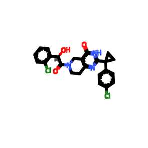 O=C([C@H](O)c1ccccc1Cl)N1CCc2nc(C3(c4ccc(Cl)cc4)CC3)[nH]c(=O)c2C1